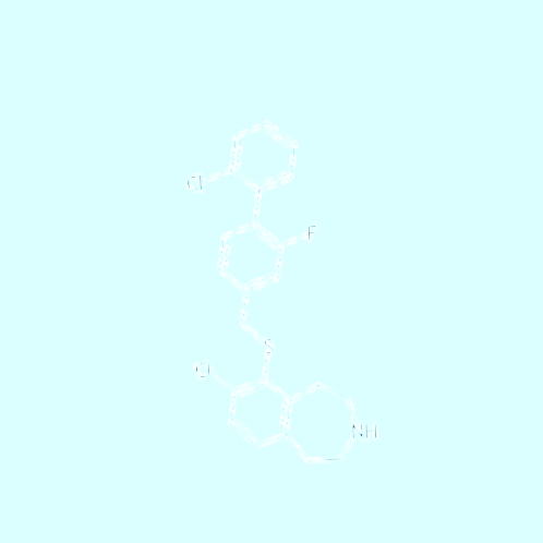 Fc1cc(CSc2c(Cl)ccc3c2CCNCC3)ccc1-c1ccccc1Cl